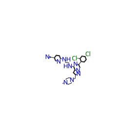 CN1CCN(Cc2cc3c(NCCNc4ccc(C#N)cn4)nc(-c4ccc(Cl)cc4Cl)cn3n2)CC1